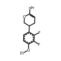 CCCC1=CCC(c2ccc(OCC)c(F)c2F)CO1